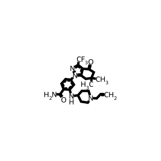 C=CCN1CCC(Nc2cc(-n3nc(C(F)(F)F)c4c3CC(C)(C)CC4=O)ccc2C(N)=O)CC1